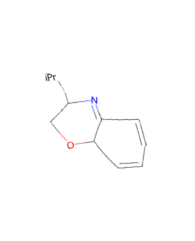 CC(C)C1COC2C=CC=CC2=N1